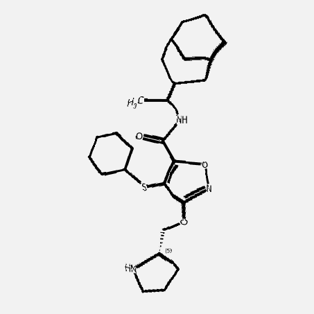 CC(NC(=O)c1onc(OC[C@@H]2CCCN2)c1SC1CCCCC1)C1CC2CCCC(C2)C1